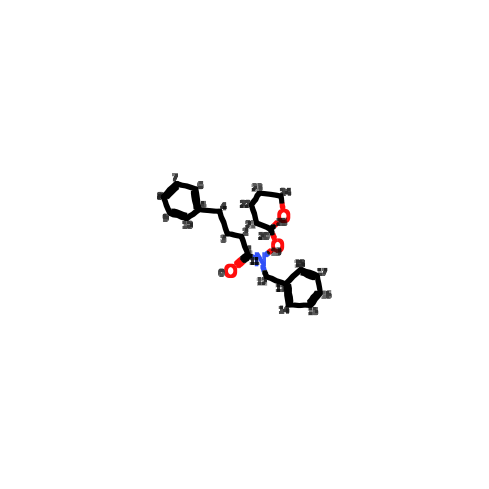 O=C(CCCc1ccccc1)N(Cc1ccccc1)OC1CCCCO1